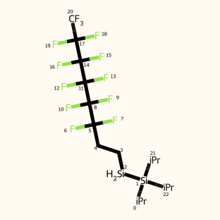 CC(C)[Si]([SiH2]CCC(F)(F)C(F)(F)C(F)(F)C(F)(F)C(F)(F)C(F)(F)F)(C(C)C)C(C)C